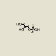 CP(=O)(O)OC[C@@H](O)CO